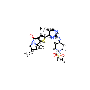 CCC12CC(C)CN1C(=O)c1cc(-c3nc(NC4CCN(S(C)(=O)=O)CC4)ncc3C(F)(F)F)sc12